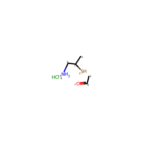 CC(S)CN.CC=O.Cl